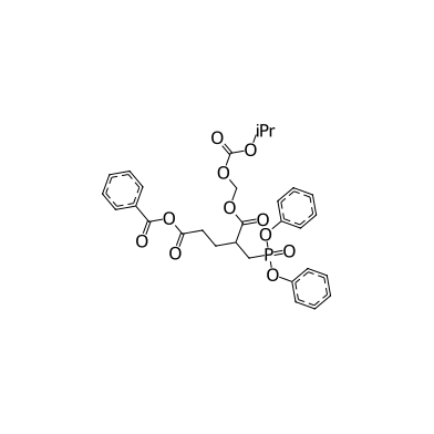 CC(C)OC(=O)OCOC(=O)C(CCC(=O)OC(=O)c1ccccc1)CP(=O)(Oc1ccccc1)Oc1ccccc1